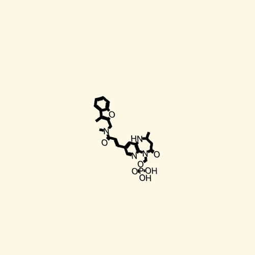 Cc1c(CN(C)C(=O)C=Cc2cnc3c(c2)NC(C)CC(=O)N3COP(=O)(O)O)oc2ccccc12